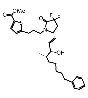 COC(=O)c1ccc(CCCN2C(=O)C(F)(F)C[C@@H]2C=C[C@@H](O)[C@@H](C)CCCCCc2ccccc2)s1